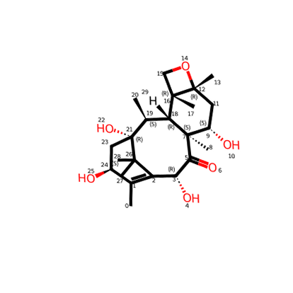 CC1=C2[C@@H](O)C(=O)[C@]3(C)[C@@H](O)C[C@@]4(C)OC[C@@]4(C)[C@H]3[C@H](C)[C@](O)(C[C@@H]1O)C2(C)C